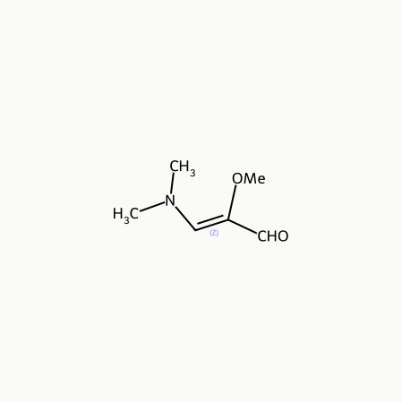 CO/C(C=O)=C\N(C)C